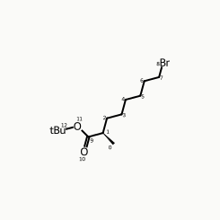 C[C@H](CCCCCCBr)C(=O)OC(C)(C)C